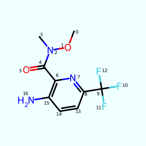 CON(C)C(=O)c1nc(C(F)(F)F)ccc1N